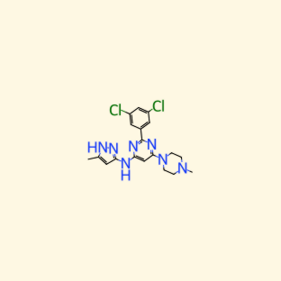 Cc1cc(Nc2cc(N3CCN(C)CC3)nc(-c3cc(Cl)cc(Cl)c3)n2)n[nH]1